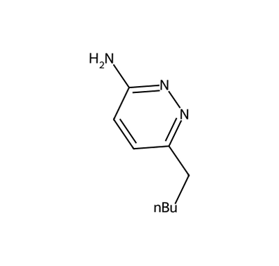 CCCCCc1ccc(N)nn1